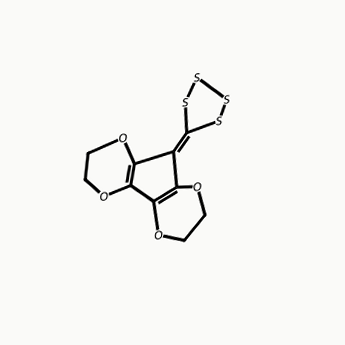 C1COC2=C(O1)C1=C(OCCO1)C2=C1SSSS1